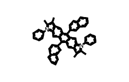 Cc1c(C)n(-c2ccccc2)c2cc3c(-c4ccc5ccccc5c4)c4cc5c(C)c(C)n(-c6ccccc6)c5cc4c(-c4ccc5ccccc5c4)c3cc12